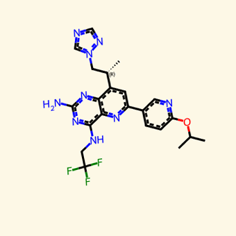 CC(C)Oc1ccc(-c2cc([C@@H](C)Cn3cncn3)c3nc(N)nc(NCC(F)(F)F)c3n2)cn1